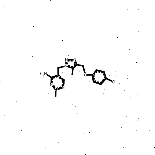 Cc1ncc(Cn2nnc(COc3ccc(Cl)cc3)c2I)c(N)n1